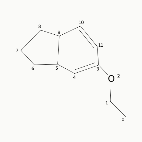 CCOC1=CC2CCCC2C=C1